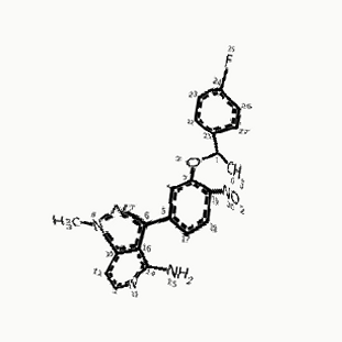 CC(Oc1cc(-c2nn(C)c3ccnc(N)c23)ccc1[N+](=O)[O-])c1ccc(F)cc1